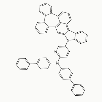 c1ccc(-c2ccc(N(c3ccc(-c4ccccc4)cc3)c3ccc(-n4c5ccccc5c5c6cccc7c6c(cc54)-c4ccccc4-c4ccccc4-7)cn3)cc2)cc1